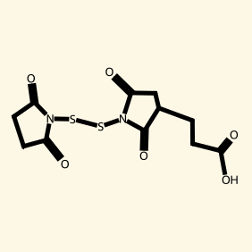 O=C(O)CCC1CC(=O)N(SSN2C(=O)[CH]CC2=O)C1=O